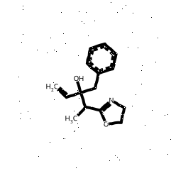 C=CC(O)(Cc1ccccc1)C(C)C1=NCCO1